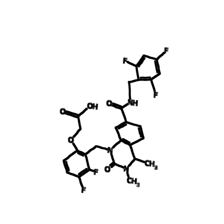 CC1c2ccc(C(=O)NCc3c(F)cc(F)cc3F)cc2N(Cc2c(OCC(=O)O)ccc(F)c2F)C(=O)N1C